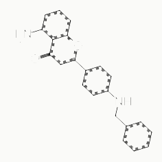 Nc1cccc2oc(-c3ccc(NCc4ccccc4)cc3)cc(=O)c12